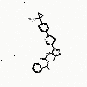 Cc1cnn(-c2ccc(-c3ccc(C4(C(=O)O)CC4)cc3)nc2)c1NC(=O)OC(C)c1ccccc1